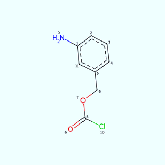 Nc1cccc(COC(=O)Cl)c1